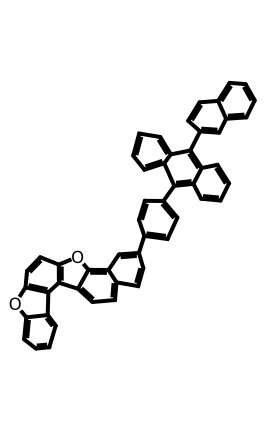 c1ccc2cc(-c3c4ccccc4c(-c4ccc(-c5ccc6ccc7c(oc8ccc9oc%10ccccc%10c9c87)c6c5)cc4)c4ccccc34)ccc2c1